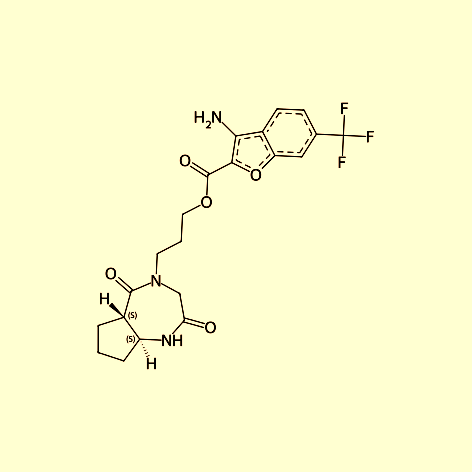 Nc1c(C(=O)OCCCN2CC(=O)N[C@H]3CCC[C@@H]3C2=O)oc2cc(C(F)(F)F)ccc12